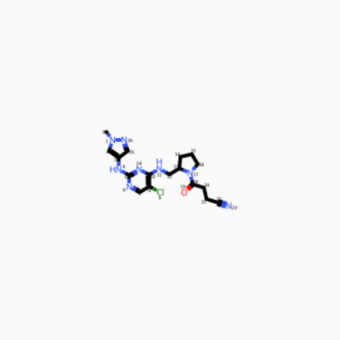 Cn1cc(Nc2ncc(Cl)c(NCC3CCCN3C(=O)CCC#N)n2)cn1